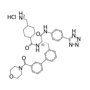 Cl.NCC1CCC(C(=O)N[C@@H](Cc2cccc(-c3cccc(C(=O)N4CCOCC4)c3)c2)C(=O)Nc2ccc(-c3nnn[nH]3)cc2)CC1